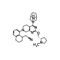 CN1CCC[C@H]1COc1nc2c(c(N3CC4CCC(C3)N4)n1)CCN(c1cccc3c1C(CC#N)CCC3)C2